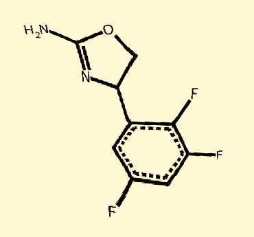 NC1=NC(c2cc(F)cc(F)c2F)CO1